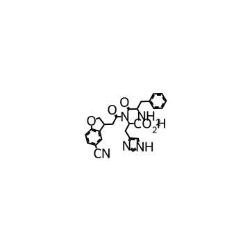 N#Cc1ccc2c(c1)C(CC(=O)N(C(=O)C(N)Cc1ccccc1)C(Cc1c[nH]cn1)C(=O)O)CO2